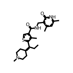 CCC(=C1CCN(C)CC1)c1scc(C(=O)NCc2c(C)cc(C)[nH]c2=O)c1C